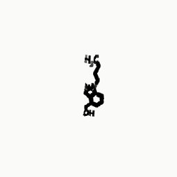 CCCCn1ncc2c(CO)cccc21